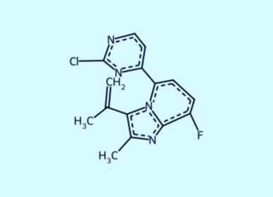 C=C(C)c1c(C)nc2c(F)ccc(-c3ccnc(Cl)n3)n12